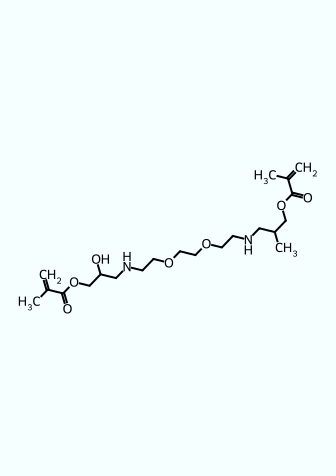 C=C(C)C(=O)OCC(C)CNCCOCCOCCNCC(O)COC(=O)C(=C)C